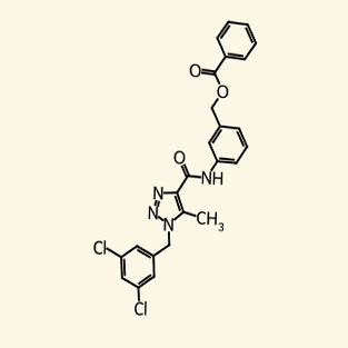 Cc1c(C(=O)Nc2cccc(COC(=O)c3ccccc3)c2)nnn1Cc1cc(Cl)cc(Cl)c1